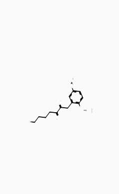 COc1ccc(OC)c(CC(=O)C(=O)CCCCO)c1